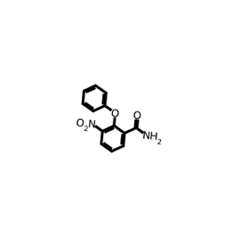 NC(=O)c1cccc([N+](=O)[O-])c1Oc1ccccc1